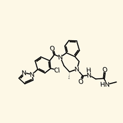 CNC(=O)CNC(=O)N1Cc2ccccc2N(C(=O)c2ccc(-n3cccn3)cc2Cl)C[C@H]1C